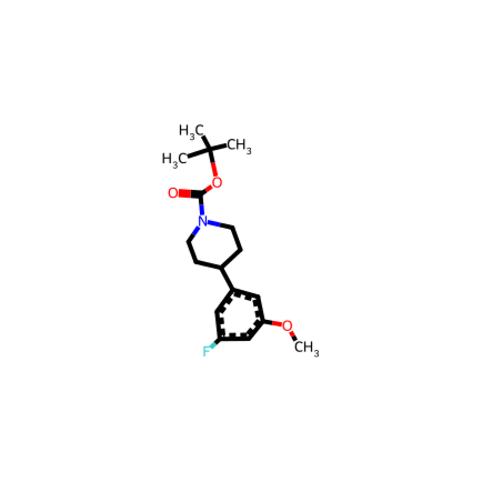 COc1cc(F)cc(C2CCN(C(=O)OC(C)(C)C)CC2)c1